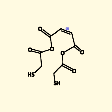 O=C(/C=C\C(=O)OC(=O)CS)OC(=O)CS